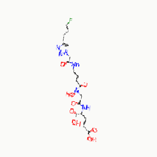 O=C(O)CCC(NC(=O)CN(O)C(=O)CCCNC(=O)Cn1cc(CCCF)nn1)C(=O)O